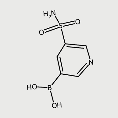 NS(=O)(=O)c1cncc(B(O)O)c1